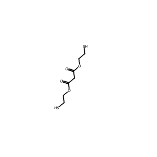 O=C(CC(=O)OCCS)OCCS